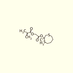 C=C(C)C(=O)OCC(=O)OC1(C)CSCCCCS1